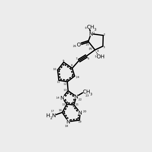 CN1CC[C@@](O)(C#Cc2cccc(-c3nc4c(N)ncnc4n3C)c2)C1=O